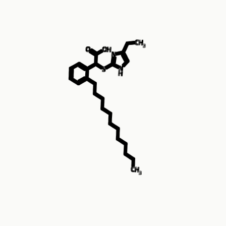 CCCCCCCCCCCCc1ccccc1C(Sc1nc(CC)c[nH]1)C(=O)O